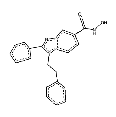 O=C(NO)c1ccc2c(c1)nc(-c1ccccc1)n2CCc1ccccc1